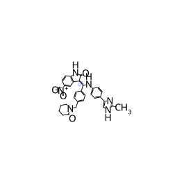 Cc1nc(-c2ccc(N/C(=C3\C(=O)Nc4ccc([N+](=O)[O-])cc43)c3ccc(CN4CCCCC4=O)cc3)cc2)c[nH]1